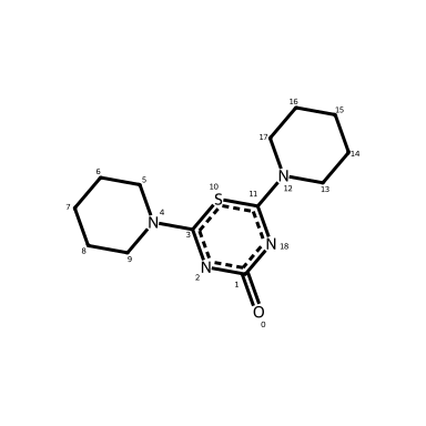 O=c1nc(N2CCCCC2)sc(N2CCCCC2)n1